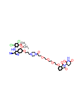 COc1cc(Nc2c(C#N)cnc3cc(OCCCN4CCN(C(=O)CCOCCOCCOCCOc5cccc6c5C(=O)N(C5CCC(=O)NC5=O)C6=O)CC4)c(OC)cc23)c(Cl)cc1Cl